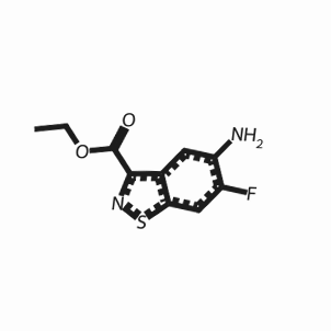 CCOC(=O)c1nsc2cc(F)c(N)cc12